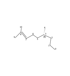 CCC[C@@H](C)CCC=C(C)C